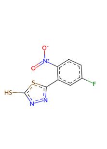 O=[N+]([O-])c1ccc(F)cc1-c1nnc(S)s1